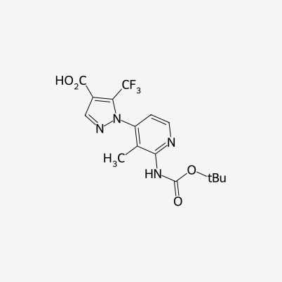 Cc1c(-n2ncc(C(=O)O)c2C(F)(F)F)ccnc1NC(=O)OC(C)(C)C